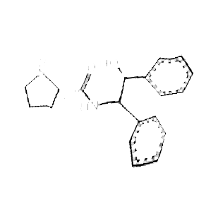 O=C(NC(c1ccccc1)[C@@H](O)c1ccccc1)[C@@H]1CCCN1